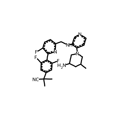 CC1CC(N)CN(c2ccncc2NCc2ccc(F)c(-c3c(F)cc(C(C)(C)C#N)cc3F)n2)C1